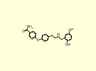 COc1ccc(O)c(CNCCc2ccc(Oc3ccc(C(N)=O)cn3)cc2)c1